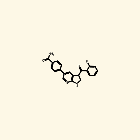 NC(=O)c1ccc(-c2cnc3c(c2)C(C(=O)c2ccccc2F)CN3)cc1